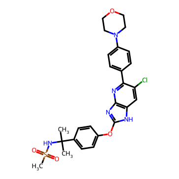 CC(C)(NS(C)(=O)=O)c1ccc(Oc2nc3nc(-c4ccc(N5CCOCC5)cc4)c(Cl)cc3[nH]2)cc1